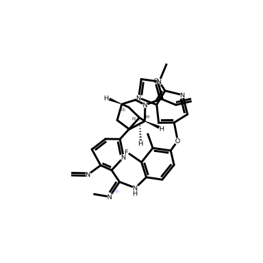 C=CC(=O)N1C[C@H]2CC[C@@H]1[C@@H](c1ccc(N=C)c(/C(=N\C)Nc3ccc(Oc4cnc5c(c4)ncn5C)c(C)c3F)n1)C2